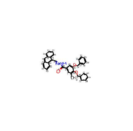 Cc1cc(C(=O)N/N=C/c2c3ccccc3cc3ccccc23)cc(OCc2ccccc2)c1OCc1ccccc1